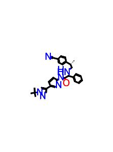 C[C@H](CN[C@@H](C(=O)Nc1ccc(-c2cnn(C(C)(C)C)c2)cn1)c1ccccc1)c1ccc(C#N)cc1